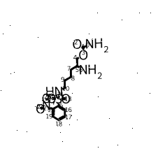 NC(=O)OCC(N)CCCCNS(=O)(=O)c1ccccc1[N+](=O)[O-]